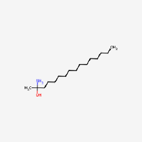 CCCCCCCCCCCCCCC(C)(N)O